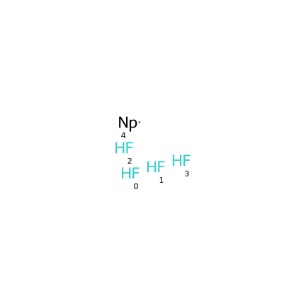 F.F.F.F.[Np]